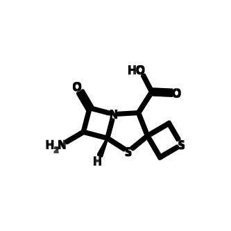 NC1C(=O)N2C(C(=O)O)C3(CSC3)S[C@H]12